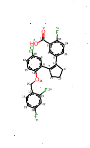 O=C(O)c1cc(C2=C(c3cc(Cl)ccc3OCc3ccc(F)cc3F)CCC2)ccc1F